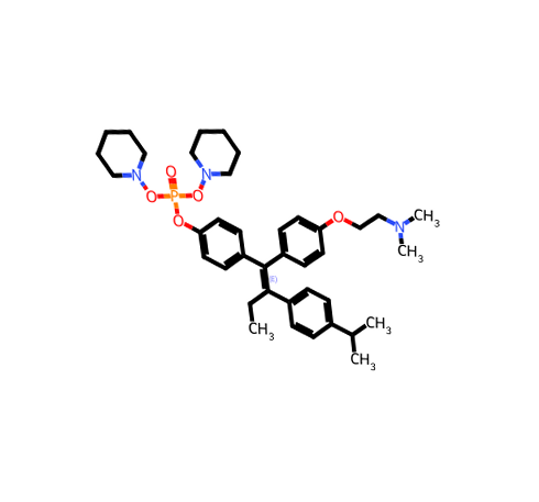 CC/C(=C(/c1ccc(OCCN(C)C)cc1)c1ccc(OP(=O)(ON2CCCCC2)ON2CCCCC2)cc1)c1ccc(C(C)C)cc1